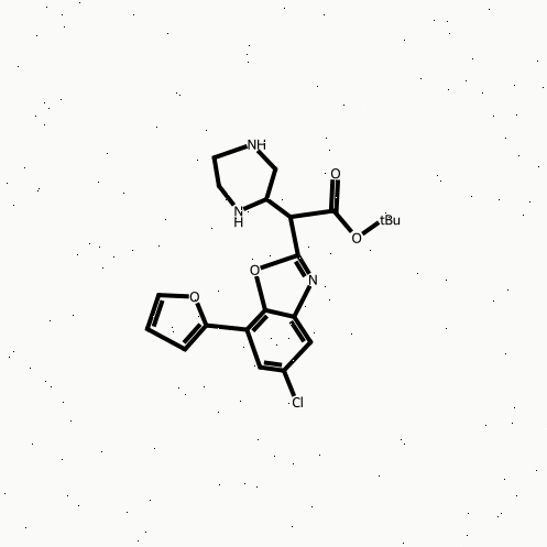 CC(C)(C)OC(=O)C(c1nc2cc(Cl)cc(-c3ccco3)c2o1)C1CNCCN1